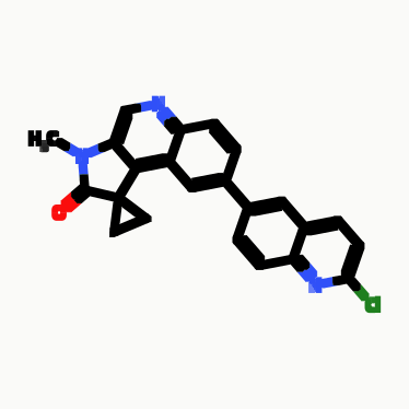 CN1C(=O)C2(CC2)c2c1cnc1ccc(-c3ccc4nc(Cl)ccc4c3)cc21